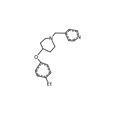 CCc1ccc(OC2CCN(Cc3ccncc3)CC2)cc1